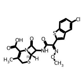 CON=C(C(=O)NC1C(=O)N2C(C(=O)O)=C(C)CS[C@@H]12)c1cc2cc(Cl)ccc2s1